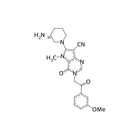 COc1cccc(C(=O)Cn2cnc3c(C#N)c(N4CCC[C@@H](N)C4)n(C)c3c2=O)c1